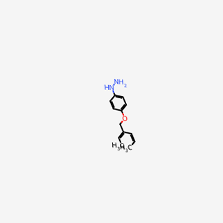 C/C=C\C(=C/C)COc1ccc(NN)cc1